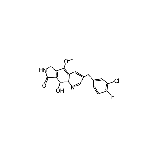 COc1c2c(c(O)c3ncc(Cc4ccc(F)c(Cl)c4)cc13)C(=O)NC2